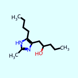 CCCCc1[nH]c(C)nc1CC(O)CCC